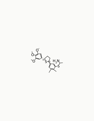 COc1cc([C@@H]2CC[C@@H](c3cc(C)c(C)c(SC(C)N)c3)S2)cc(OC)c1OC